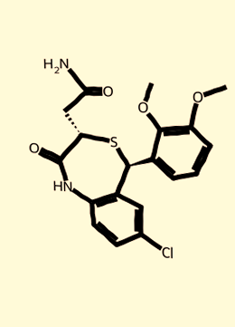 COc1cccc([C@@H]2S[C@@H](CC(N)=O)C(=O)Nc3ccc(Cl)cc32)c1OC